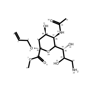 C=CCO[C@]1(C(=O)OC)C[C@@H](O)[C@@H](NC(C)=O)C([C@H](O)C(O)CN)O1